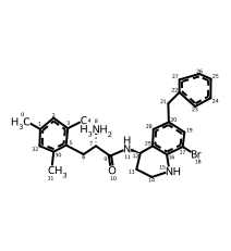 Cc1cc(C)c(C[C@H](N)C(=O)N[C@@H]2CCNc3c(Br)cc(Cc4ccccc4)cc32)c(C)c1